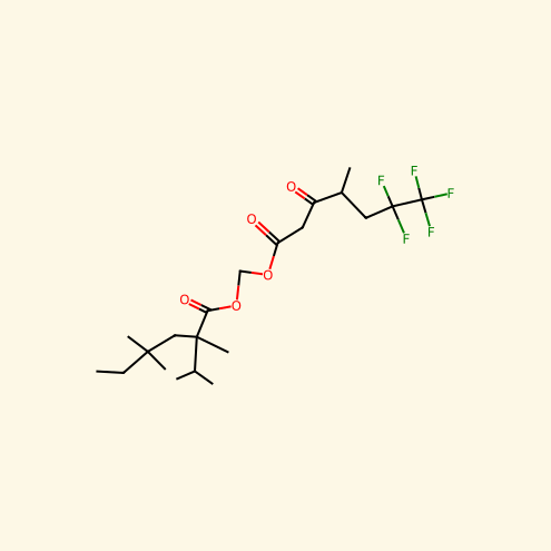 CCC(C)(C)CC(C)(C(=O)OCOC(=O)CC(=O)C(C)CC(F)(F)C(F)(F)F)C(C)C